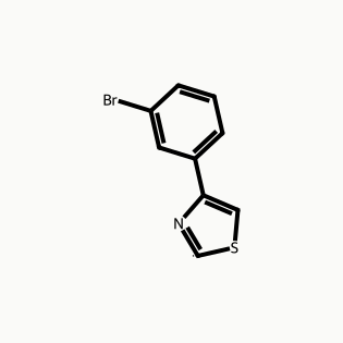 Brc1cccc(-c2cs[c]n2)c1